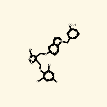 CC(C)c1onc(COc2c(Cl)cc(F)cc2Cl)c1COc1ccc2c(ccn2Cc2cccc(C(=O)O)c2)c1